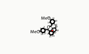 COc1ccc(C(OC(c2cccc(OC)c2)[C@H]2OCC[C@H]2F)c2ccccc2)cc1